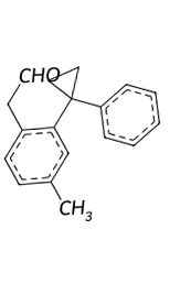 Cc1ccc(CC=O)c(C2(c3ccccc3)CC2)c1